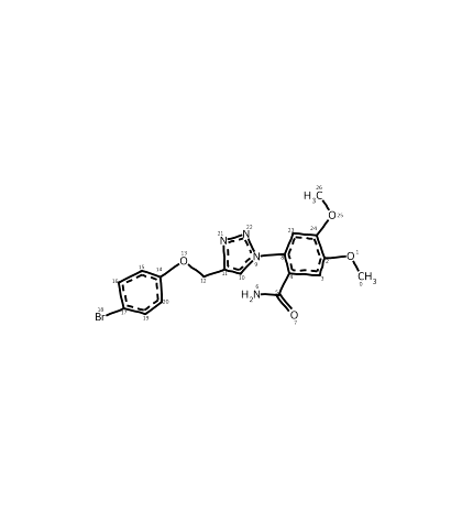 COc1cc(C(N)=O)c(-n2cc(COc3ccc(Br)cc3)nn2)cc1OC